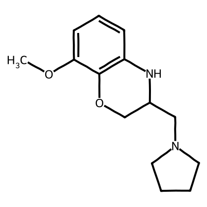 COc1cccc2c1OCC(CN1CCCC1)N2